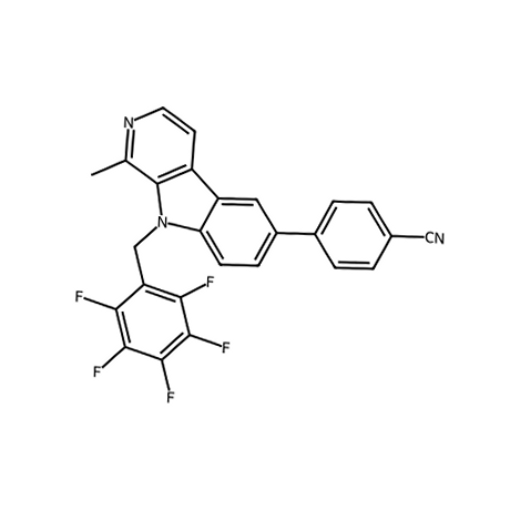 Cc1nccc2c3cc(-c4ccc(C#N)cc4)ccc3n(Cc3c(F)c(F)c(F)c(F)c3F)c12